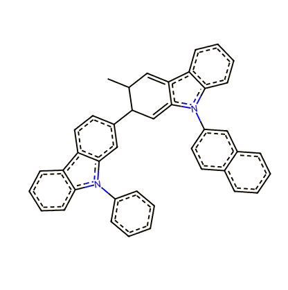 CC1C=c2c(n(-c3ccc4ccccc4c3)c3ccccc23)=CC1c1ccc2c3ccccc3n(-c3ccccc3)c2c1